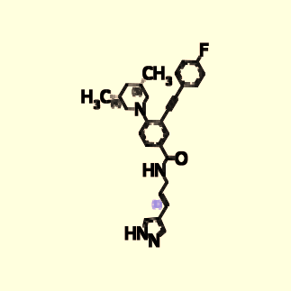 C[C@@H]1C[C@H](C)CN(c2ccc(C(=O)NC/C=C/c3cn[nH]c3)cc2C#Cc2ccc(F)cc2)C1